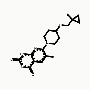 Cc1cc2c(=O)[nH]c(=O)[nH]c2nc1N1CCC(OCC2(C)CC2)CC1